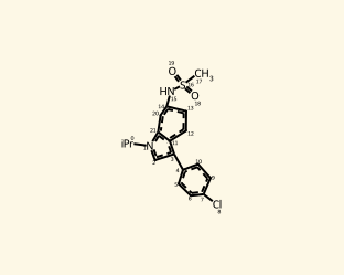 CC(C)n1cc(-c2ccc(Cl)cc2)c2ccc(NS(C)(=O)=O)cc21